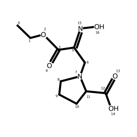 CCOC(=O)/C(CN1CCCC1C(=O)O)=N/O